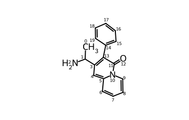 CC(N)c1cc2ccccn2c(=O)c1-c1ccccc1